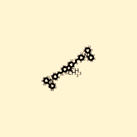 CC1(C)c2cc(/C=C/c3ccc(-n4c5ccccc5c5ccccc54)cc3)ccc2-c2ccc(/C=C/c3ccc(-n4c5ccccc5c5ccccc54)cc3)cc21